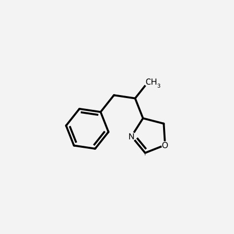 CC(Cc1ccccc1)C1CO[C]=N1